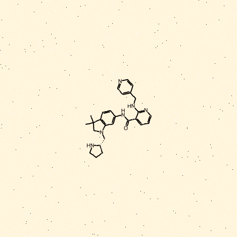 CC1(C)CN(C[C@@H]2CCCN2)c2cc(NC(=O)c3cccnc3NCc3ccncc3)ccc21